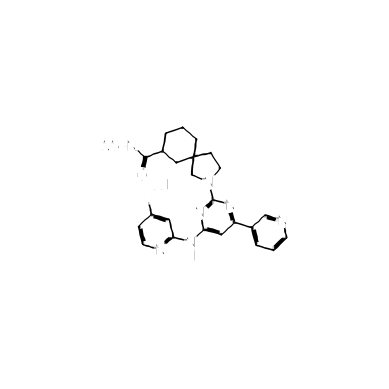 CNC(=O)C1CCCC2(CCN(c3nc(Nc4cc(OC(F)(F)F)ccn4)cc(-c4cccnc4)n3)C2)C1